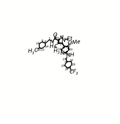 CCn1nc(C(=O)NCC2CCC(C)CC2)c(C)c1-c1cnc(NCC2CCC(C(F)(F)F)CC2)cc1OC